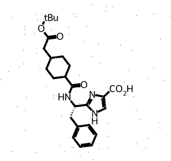 CC(C)(C)OC(=O)CC1CCC(C(=O)N[C@@H](Cc2ccccc2)c2nc(C(=O)O)c[nH]2)CC1